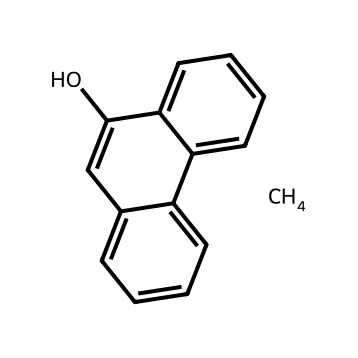 C.Oc1cc2ccccc2c2ccccc12